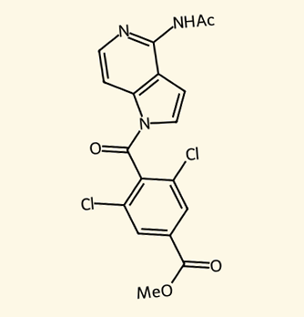 COC(=O)c1cc(Cl)c(C(=O)n2ccc3c(NC(C)=O)nccc32)c(Cl)c1